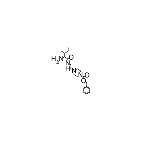 CC[C@H](C)[C@H](N)C(=O)NCCN1CCN(C(=O)OCc2ccccc2)CC1